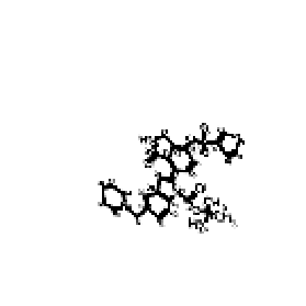 CC(C)(C)OC(=O)n1c(-c2ccc(OS(=O)(=O)c3ccsc3)c3c2C(=O)NC3)cc2cc(CN3CCCCC3)ccc21